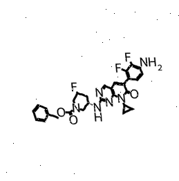 Nc1ccc(-c2cc3cnc(N[C@H]4C[C@H](F)CN(C(=O)OCc5ccccc5)C4)nc3n(C3CC3)c2=O)c(F)c1F